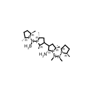 BN(P1[C@H](C)CC[C@H]1C)P1[C@H](C)CC(C2C[C@@H](C)P(N(C)N(C)P3[C@H](C)CC[C@H]3C)[C@@H]2N)[C@H]1C